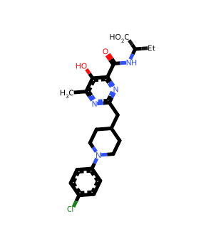 CCC(NC(=O)c1nc(CC2CCN(c3ccc(Cl)cc3)CC2)nc(C)c1O)C(=O)O